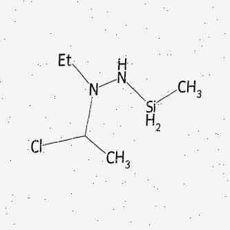 CCN(N[SiH2]C)C(C)Cl